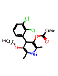 COC(=O)OC1=C(C)NC(C)=C(OC(=O)O)C1c1cccc(Cl)c1Cl